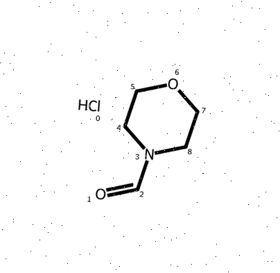 Cl.O=CN1CCOCC1